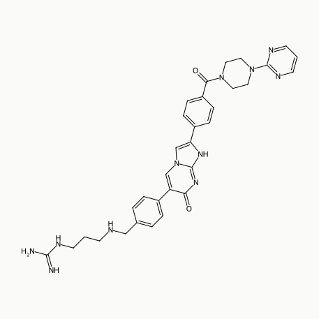 N=C(N)NCCCNCc1ccc(-c2cn3cc(-c4ccc(C(=O)N5CCN(c6ncccn6)CC5)cc4)[nH]c3nc2=O)cc1